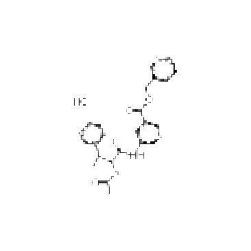 CC(=O)SC(C(=O)Nc1cccc(C(=O)OCc2cccnc2)c1)C(C)c1ccccc1.Cl